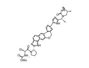 C#C[C@@H](C)CN(C(=O)CCC)[C@@H](C)c1ncc(-c2ccc3c(c2)COc2cc4c(ccc5nc([C@@H]6CC[C@H](C)N6C(=O)[C@H](CC)NC(=O)OC)[nH]c54)cc2-3)[nH]1